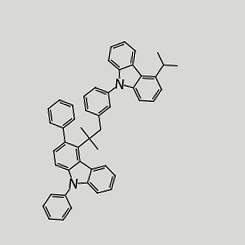 CC(C)c1cccc2c1c1ccccc1n2-c1cccc(CC(C)(C)c2c(-c3ccccc3)ccc3c2c2ccccc2n3-c2ccccc2)c1